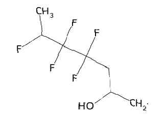 [CH2]C(O)CC(F)(F)C(F)(F)C(C)F